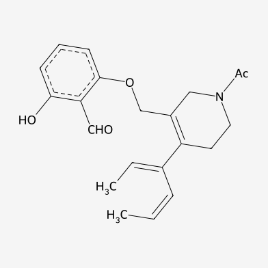 C/C=C\C(=C/C)C1=C(COc2cccc(O)c2C=O)CN(C(C)=O)CC1